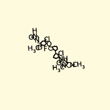 COc1c(CN2CCNC(=O)C2)cc(Cl)c(OC2CCc3c(-c4cccc(NC(=O)c5nc6c(n5C)CCN(C)C6)c4Cl)cccc32)c1F